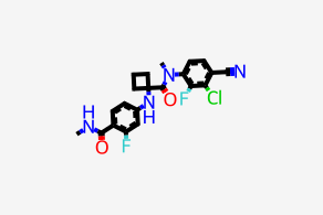 CNC(=O)c1ccc(NC2(C(=O)N(C)c3ccc(C#N)c(Cl)c3F)CCC2)cc1F